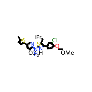 COCCOc1ccc(-c2nc(Nc3ncc(-c4ccc(C)s4)cc3C(=O)O)sc2CC(C)C)cc1Cl